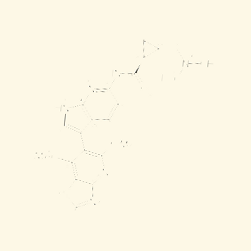 COc1nc2ncsc2c(OC)c1-c1c[nH]c2nc(NC(=O)[C@H]3C[C@@H]3CN(C)C)ccc12